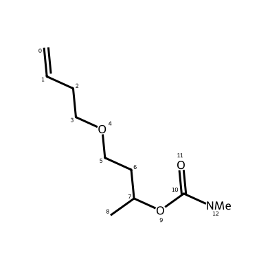 C=CCCOCCC(C)OC(=O)NC